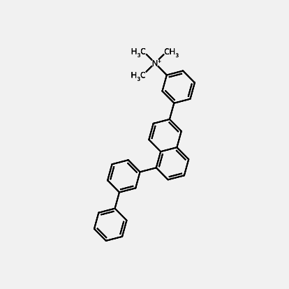 C[N+](C)(C)c1cccc(-c2ccc3c(-c4cccc(-c5ccccc5)c4)cccc3c2)c1